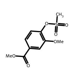 COC(=O)c1ccc(OS(C)(=O)=O)c(OC)c1